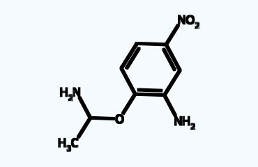 CC(N)Oc1ccc([N+](=O)[O-])cc1N